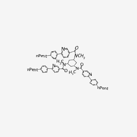 CCCCCc1ccc(-c2ccc(C(=O)N(C)C3CC(N(C)C(=O)c4ccc(-c5ccc(CCCCC)cc5)nc4)CC(N(C)C(=O)c4ccc(-c5ccc(CCCCC)cc5)nc4)C3)cn2)cc1